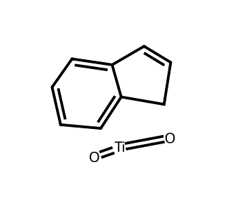 C1=Cc2ccccc2C1.[O]=[Ti]=[O]